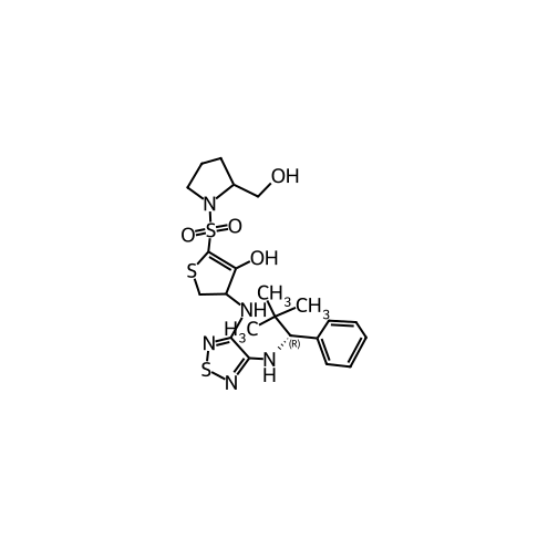 CC(C)(C)[C@@H](Nc1nsnc1NC1CSC(S(=O)(=O)N2CCCC2CO)=C1O)c1ccccc1